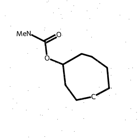 CNC(=O)OC1CCC[CH]CCC1